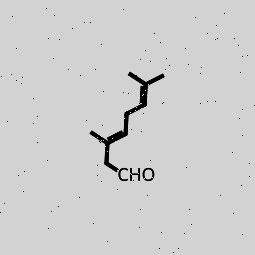 CC(C)=CCC=C(C)CC=O